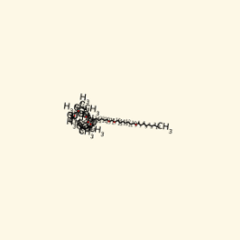 CCCCCCCCCCCCCCCCCCCCCCCCCC(=O)N[C@@H](COC1OC(COC(C)=O)C(C)C(C)C1C)[C@H](OC(C)=O)[C@@H](CC)OC(C)=O